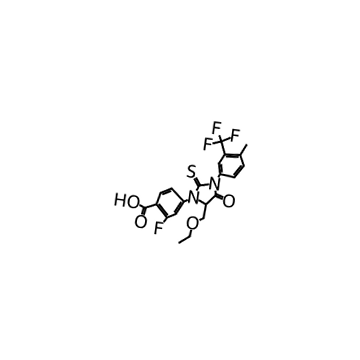 CCOCC1C(=O)N(c2ccc(C)c(C(F)(F)F)c2)C(=S)N1c1ccc(C(=O)O)c(F)c1